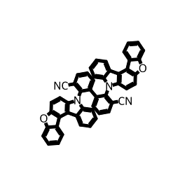 N#Cc1cccc(-c2cccc(C#N)c2-n2c3ccccc3c3c4c(ccc32)oc2ccccc24)c1-n1c2ccccc2c2c3c(ccc21)oc1ccccc13